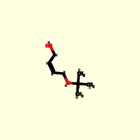 C[Si](C)(C)O[CH]/C=C\CO